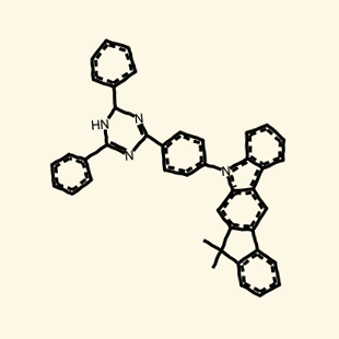 CC1(C)c2ccccc2-c2cc3c4ccccc4n(-c4ccc(C5=NC(c6ccccc6)NC(c6ccccc6)=N5)cc4)c3cc21